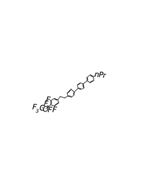 CCCc1ccc(-c2ccc(-c3ccc(CCc4cc(F)c(C(F)(F)OC(F)(F)F)c(F)c4)cc3)cc2)cc1